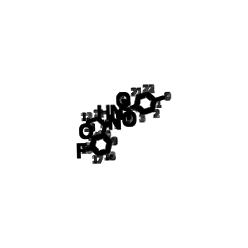 Cc1ccc(S(=O)(=O)NN=C2CCOc3c(F)cccc32)cc1